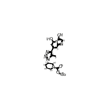 Cc1c(-c2cc(O)n3c(C#N)cnc3c2)nnn1[C@H]1CCCN(C(=O)OC(C)(C)C)C1